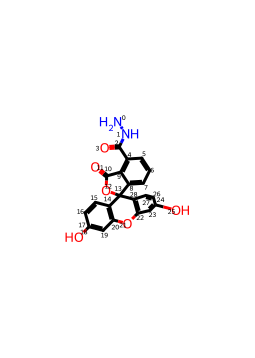 NNC(=O)c1cccc2c1C(=O)OC21c2ccc(O)cc2Oc2cc(O)ccc21